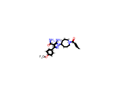 CC#CC(=O)N1CCCC(n2nc(-c3ccc(OC(F)(F)F)cc3)c(C(N)=O)c2N)CCC1